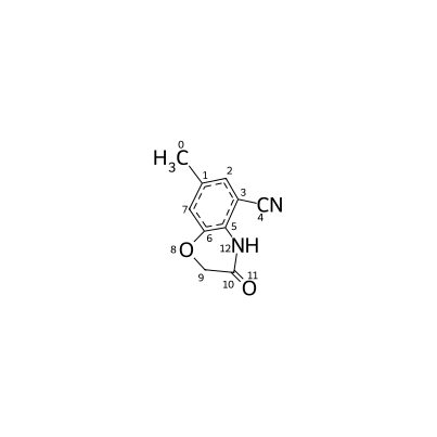 Cc1cc(C#N)c2c(c1)OCC(=O)N2